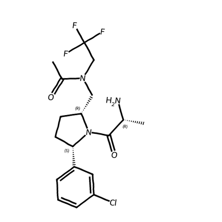 CC(=O)N(C[C@H]1CC[C@@H](c2cccc(Cl)c2)N1C(=O)[C@@H](C)N)CC(F)(F)F